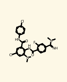 CN(C)C(=N)c1ccc(C(=O)Nc2c(C(=O)Nc3ccc(Cl)cc3)cc(Cl)cc2N(C)C)c(F)c1